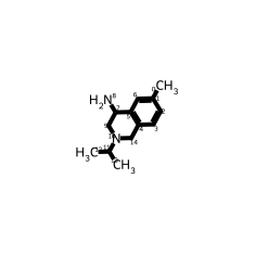 Cc1ccc2c(c1)C(N)CN(C(C)C)C2